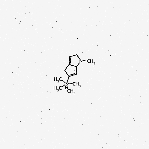 CN1CC=C2CC([SH](C)(C)(C)C)=CC21